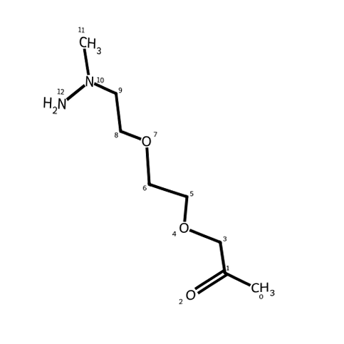 CC(=O)COCCOCCN(C)N